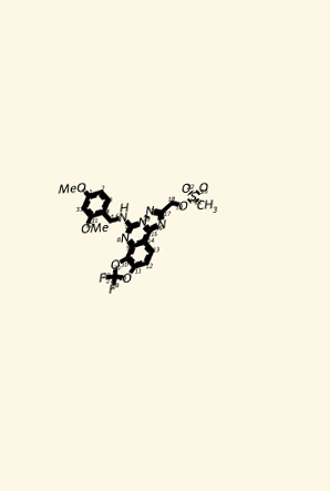 COc1ccc(CNc2nc3c4c(ccc3c3nc(COS(C)(=O)=O)nn23)OC(F)(F)O4)c(OC)c1